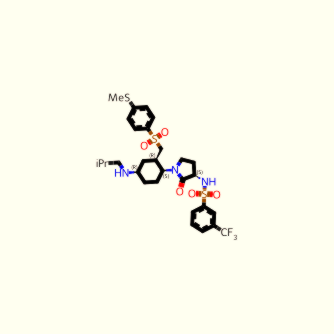 CSc1ccc(S(=O)(=O)C[C@@H]2C[C@H](NCC(C)C)CC[C@@H]2N2CC[C@H](NS(=O)(=O)c3cccc(C(F)(F)F)c3)C2=O)cc1